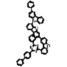 c1ccc(-c2ccc(-c3nc(-c4ccccc4)nc(-c4cccc5oc6ccc(-c7ccc8c(c7)oc7c(-n9c%10ccccc%10c%10cc(-c%11ccccc%11)ccc%109)cccc78)cc6c45)n3)cc2)cc1